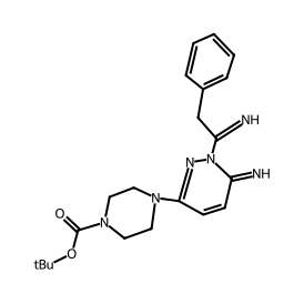 CC(C)(C)OC(=O)N1CCN(c2ccc(=N)n(C(=N)Cc3ccccc3)n2)CC1